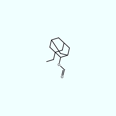 CCC12CC3CC(CC(C3)C1O[C]=O)C2